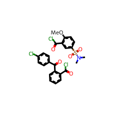 COc1ccc(S(=O)(=O)N(C)C)cc1C(=O)Cl.O=C(Cl)c1ccccc1C(=O)c1ccc(Cl)cc1